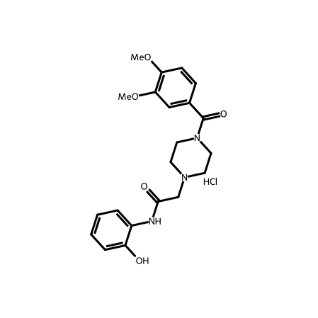 COc1ccc(C(=O)N2CCN(CC(=O)Nc3ccccc3O)CC2)cc1OC.Cl